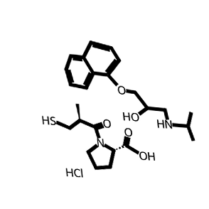 CC(C)NCC(O)COc1cccc2ccccc12.C[C@H](CS)C(=O)N1CCC[C@H]1C(=O)O.Cl